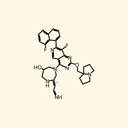 N=C/C=C1/CN(c2nc(OCC34CCCN3CCC4)nc3c(F)c(-c4cccc5cccc(F)c45)ncc23)CC(O)CN1